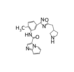 Cc1ccc(-c2noc(CC3CCNC3)n2)cc1NC(=O)c1cnc2ccccn12